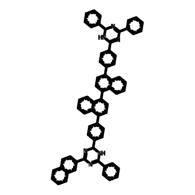 c1ccc(C2=NC(c3ccccc3)NC(c3ccc(-c4ccc(-c5ccc(-c6ccc(C7N=C(c8ccc9ccccc9c8)N=C(c8ccccc8)N7)cc6)c6ccccc56)c5ccccc45)cc3)=N2)cc1